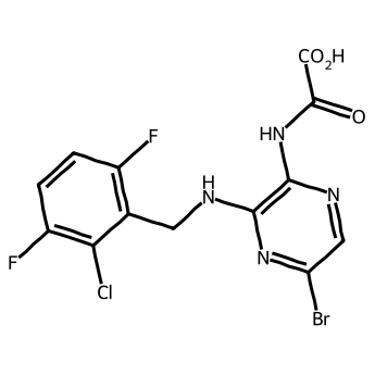 O=C(O)C(=O)Nc1ncc(Br)nc1NCc1c(F)ccc(F)c1Cl